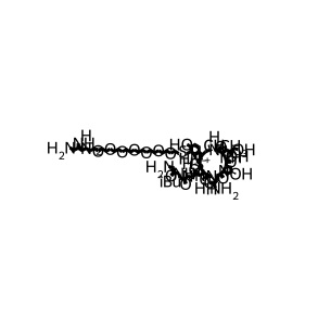 CCC(C)C(NC(=O)CN)C(=O)NCC(=O)NC1C[S+]([O-])c2[nH]c3c(CSCCOCCOCCOCCOCCOCCOCCOCCN/C=C(\N)CN)c(O)ccc3c2C[C@@H](C)NC(=O)C(C(C)C(O)CO)NC(=O)C2C[C@@H](O)CN2C(=O)C(CC(N)=O)NC1=O